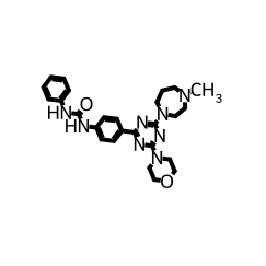 CN1CCCN(c2nc(-c3ccc(NC(=O)Nc4ccccc4)cc3)nc(N3CCOCC3)n2)CC1